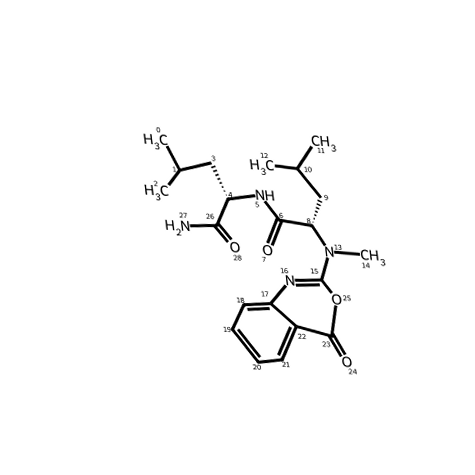 CC(C)C[C@H](NC(=O)[C@H](CC(C)C)N(C)c1nc2ccccc2c(=O)o1)C(N)=O